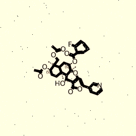 CC(=O)OC[C@@]1(C)C2C[C@H](OC(=O)c3ccccc3F)[C@@]3(C)Oc4cc(-c5cccnc5)oc(=O)c4[C@H](O)C3[C@@]2(C)CC[C@@H]1OC(C)=O